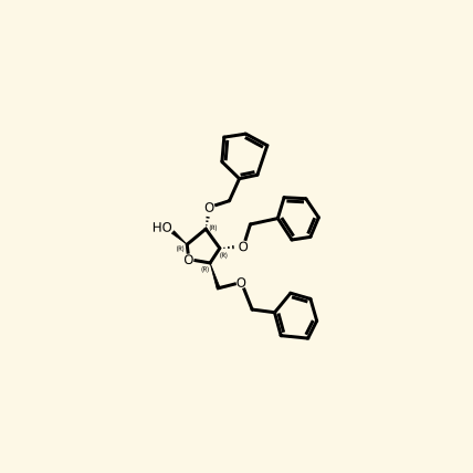 O[C@@H]1O[C@H](COCc2ccccc2)[C@@H](OCc2ccccc2)[C@H]1OCc1ccccc1